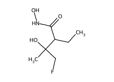 CCC(C(=O)NO)C(C)(O)CF